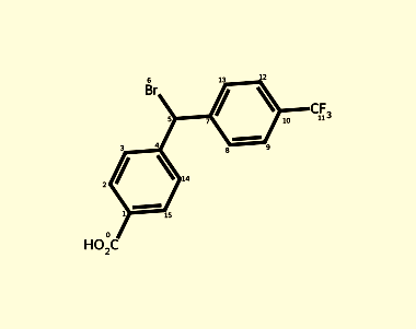 O=C(O)c1ccc(C(Br)c2ccc(C(F)(F)F)cc2)cc1